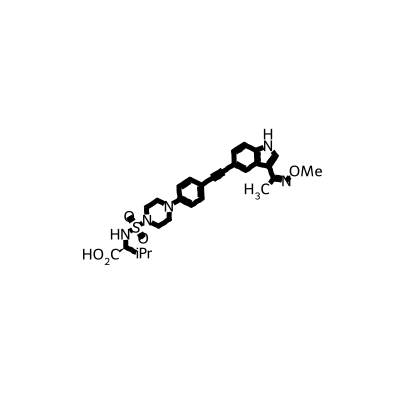 CO/N=C(/C)c1c[nH]c2ccc(C#Cc3ccc(N4CCN(S(=O)(=O)N[C@@H](C(=O)O)C(C)C)CC4)cc3)cc12